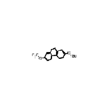 CCCCOc1ccc2c(c1)CCc1cc(OC(F)(F)F)ccc1-2